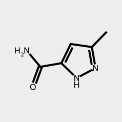 Cc1cc(C(N)=O)[nH]n1